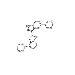 c1ccc(-c2cccc3[nH]c(-c4n[nH]c5cnc(-c6cncnc6)cc45)cc23)nc1